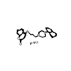 Cl.O=c1cc(NCCCN2CCN(c3cccc4ccccc34)CC2)c2ccccc2o1